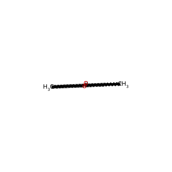 CCCCCCCCCCCCCCCCCCCCCCC(=O)OCCCCCCCCCCCCCCCCCCCCC